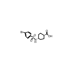 O=C(O)[C@H]1CC[C@H](NS(=O)(=O)c2ccc(Br)cc2)CC1